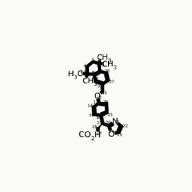 CC1(C)CCC(C)(C)c2cc(COc3ccc([C@H](CC(=O)O)c4ncco4)cc3)ccc21